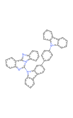 c1ccc2c(c1)nc(-n1c3ccccc3c3ccc(-c4ccc(-n5c6ccccc6c6ccccc65)cc4)cc31)n1c3ccccc3nc21